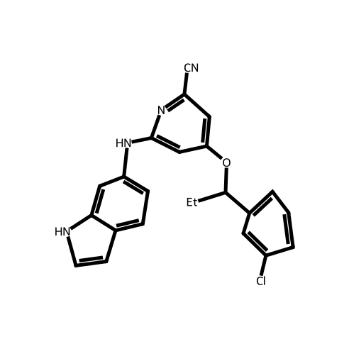 CCC(Oc1cc(C#N)nc(Nc2ccc3cc[nH]c3c2)c1)c1cccc(Cl)c1